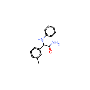 Cc1cccc(C(Nc2ccccc2)C(N)=O)c1